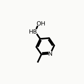 Cc1cc(BO)ccn1